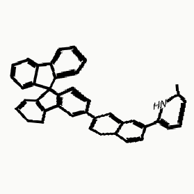 CC1C=CC=C(C2=CC3=CC(c4ccc5c(c4)C4=C(C=CCC4)C54c5ccccc5-c5ccccc54)=CCC3C=C2)N1